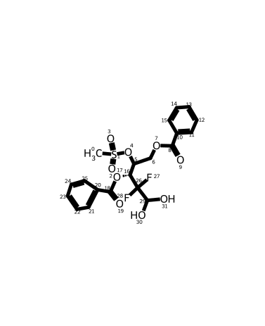 CS(=O)(=O)OC(COC(=O)c1ccccc1)[C@@H](OC(=O)c1ccccc1)C(F)(F)C(O)O